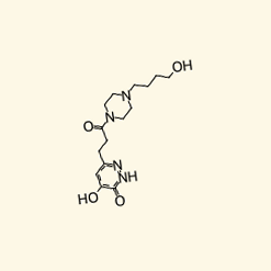 O=C(CCc1cc(O)c(=O)[nH]n1)N1CCN(CCCCO)CC1